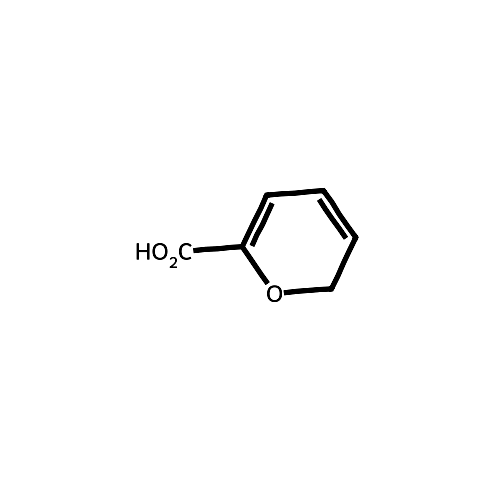 O=C(O)C1=CC=CCO1